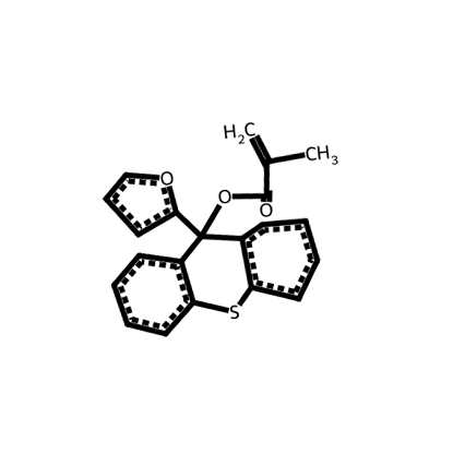 C=C(C)C(=O)OC1(c2ccco2)c2ccccc2Sc2ccccc21